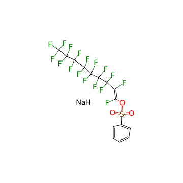 O=S(=O)(OC(F)=C(F)C(F)(F)C(F)(F)C(F)(F)C(F)(F)C(F)(F)C(F)(F)C(F)(F)F)c1ccccc1.[NaH]